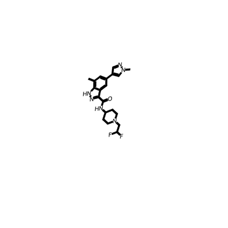 Cc1cc(-c2cnn(C)c2)cc2c(C(=O)NC3CCN(CC(F)F)CC3)n[nH]c12